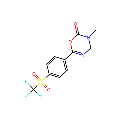 CN1CN=C(c2ccc(S(=O)(=O)C(F)(F)F)cc2)OC1=O